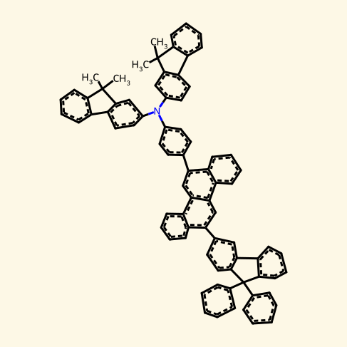 CC1(C)c2ccccc2-c2ccc(N(c3ccc(-c4cc5c6ccccc6c(-c6ccc7c(c6)-c6ccccc6C7(c6ccccc6)c6ccccc6)cc5c5ccccc45)cc3)c3ccc4c(c3)C(C)(C)c3ccccc3-4)cc21